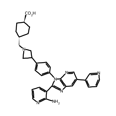 Nc1ncccc1-c1nc2cc(-c3cccnc3)cnc2n1-c1ccc(C2CN(C[C@H]3CC[C@H](C(=O)O)CC3)C2)cc1